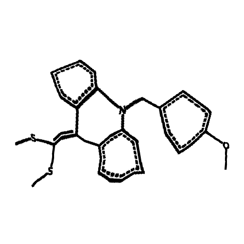 COc1ccc(CN2c3ccccc3C(=C(SC)SC)c3ccccc32)cc1